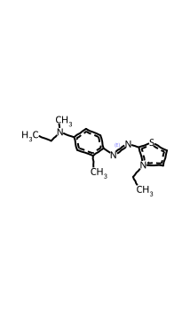 CCN(C)c1ccc(/N=N/c2scc[n+]2CC)c(C)c1